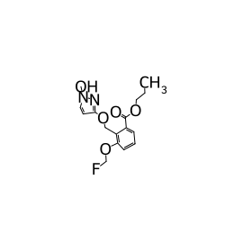 CCCOC(=O)c1cccc(OCF)c1COc1ccn(O)n1